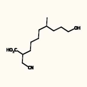 CC(CCCO)CCCCC(CC#N)C(=O)O